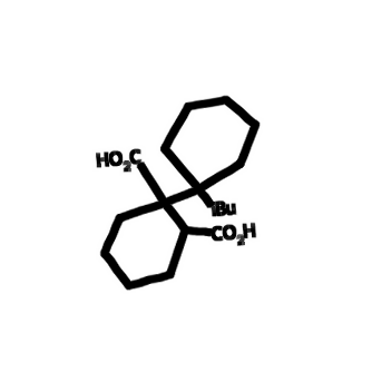 CCC(C)C1(C2(C(=O)O)CCCCC2C(=O)O)CCCCC1